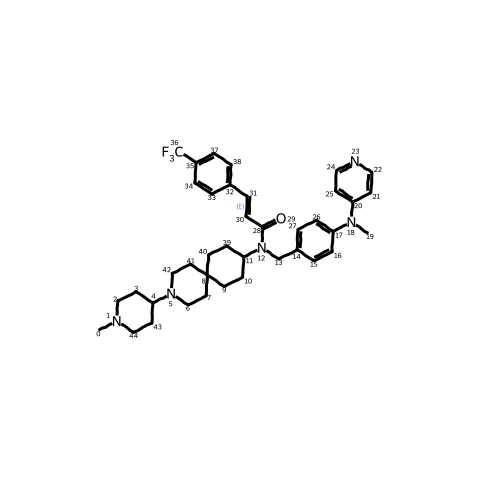 CN1CCC(N2CCC3(CCC(N(Cc4ccc(N(C)c5ccncc5)cc4)C(=O)/C=C/c4ccc(C(F)(F)F)cc4)CC3)CC2)CC1